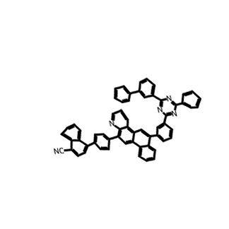 N#Cc1ccc(-c2ccc(-c3cc4c5ccccc5c(-c5cccc(-c6nc(-c7ccccc7)nc(-c7cccc(-c8ccccc8)c7)n6)c5)cc4c4cccnc34)cc2)c2ccccc12